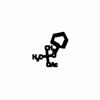 CC(=O)OC(C)(C)Oc1ccccc1